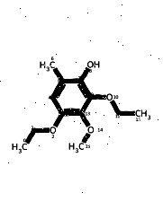 CCOc1cc(C)c(O)c(OCC)c1OC